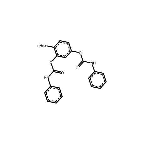 CCCCCCc1ccc(OC(=O)Nc2ccccc2)cc1OC(=O)Nc1ccccc1